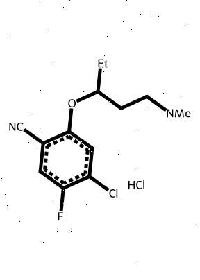 CCC(CCNC)Oc1cc(Cl)c(F)cc1C#N.Cl